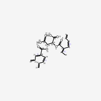 C=C/C=C\C(=C/C)C(=O)O[C@H](C(=O)O)[C@H](OC(=O)C(/C=C\C=C)=C/C=C)C(=O)O